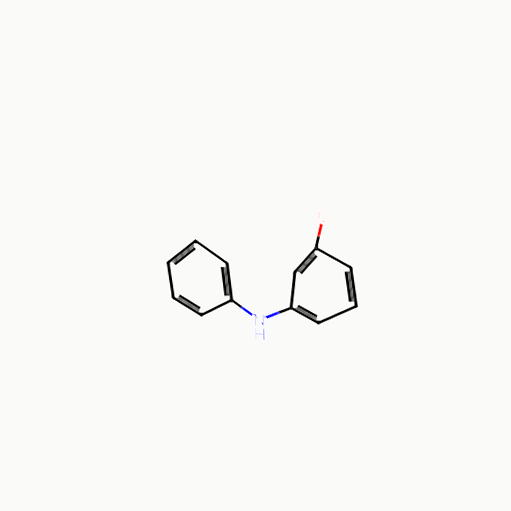 [O]c1cccc(Nc2ccccc2)c1